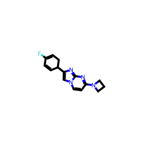 FC1=CCC(c2cn3ccc(N4CCC4)nc3n2)C=C1